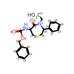 O=C(O)CN1C(=O)C(NC(=O)OCc2ccccc2)CSCC1c1ccccc1